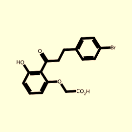 O=C(O)COc1cccc(O)c1C(=O)CCc1ccc(Br)cc1